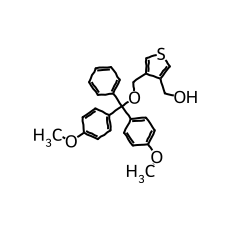 COc1ccc(C(OCc2cscc2CO)(c2ccccc2)c2ccc(OC)cc2)cc1